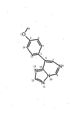 COc1ccc(-c2cncn3ncnc23)cc1